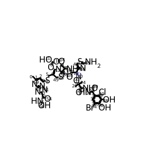 Cc1cc(SCC2=C(OC(=O)O)N3C(=O)[C@@H](NC(=O)/C(=N\OC(C)(C)C(=O)NNC(=O)c4cc(Br)c(O)c(O)c4Cl)c4csc(N)n4)[C@H]3SC2)n2nc(C(=O)NO)nc2n1